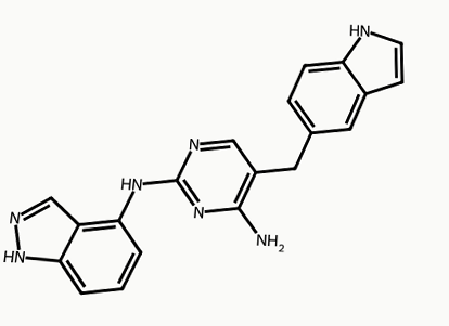 Nc1nc(Nc2cccc3[nH]ncc23)ncc1Cc1ccc2[nH]ccc2c1